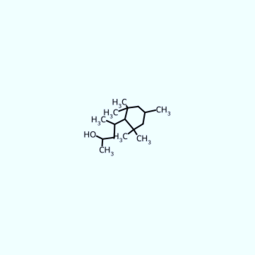 CC(O)CC(C)C1C(C)(C)CC(C)CC1(C)C